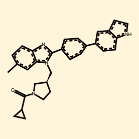 Cc1ccc2nc(-c3ccc(-c4ccc5[nH]ccc5c4)cc3)n(C[C@H]3CCN(C(=O)C4CC4)C3)c2c1